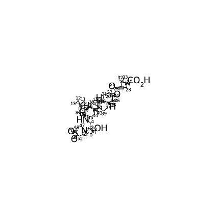 C[C@@H](O)[C@H](CN[C@]12CC[C@@H](C3(C)CC3)[C@@H]1[C@H]1CC[C@@H]3[C@@]4(C)CC[C@H](OC(=O)[C@@H]5C[C@H](C(=O)O)C5(C)C)C(C)(C)[C@@H]4CC[C@@]3(C)[C@]1(C)CC2)N1CCS(=O)(=O)CC1